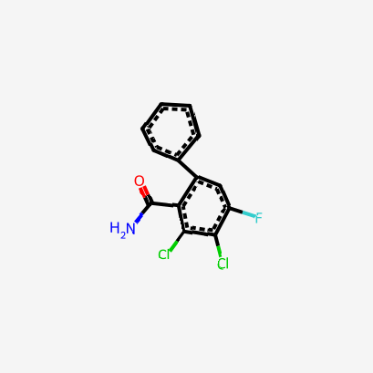 NC(=O)c1c(-c2ccccc2)cc(F)c(Cl)c1Cl